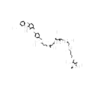 CC(C)(CCOC(C)(C)CCNC(=O)C(C)(C)CCOC(C)(C)CCNC(=O)CCCC[C@@H]1SC[C@]2(C)NC(=O)N[C@]12C)NC(=O)c1ccc(COc2ccc(Cl)c(Nc3ccccc3C(=O)O)c2Cl)cc1